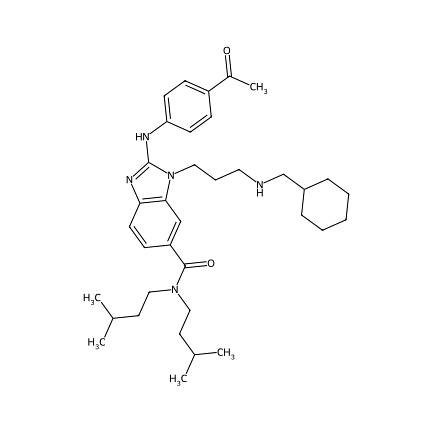 CC(=O)c1ccc(Nc2nc3ccc(C(=O)N(CCC(C)C)CCC(C)C)cc3n2CCCNCC2CCCCC2)cc1